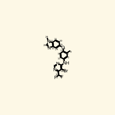 Cc1cc(Nc2ncnc(C(F)F)c2Br)ccc1Oc1ccc2c(c1)ncn2C